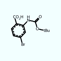 CC(C)(C)OC(=O)Nc1cc(Br)ccc1C(=O)O